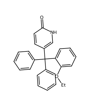 CCOc1ccccc1C(c1ccccc1)(c1ccccc1)c1ccc(=O)[nH]c1